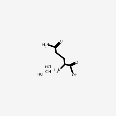 Cl.Cl.Cl.NC(=O)CCC(N)C(=O)O